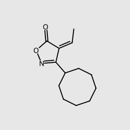 C/C=C1\C(=O)ON=C1C1CCCCCCC1